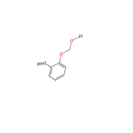 CCOCOc1cc[c]cc1OC